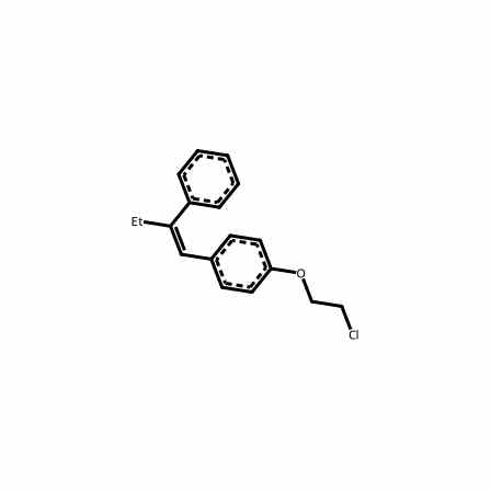 CCC(=Cc1ccc(OCCCl)cc1)c1ccccc1